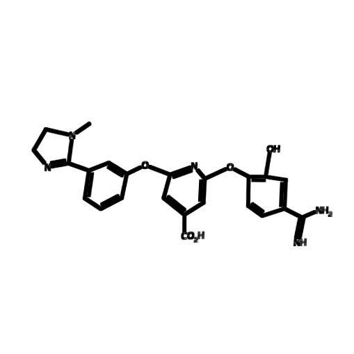 CN1CCN=C1c1cccc(Oc2cc(C(=O)O)cc(Oc3ccc(C(=N)N)cc3O)n2)c1